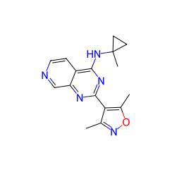 Cc1noc(C)c1-c1nc(NC2(C)CC2)c2ccncc2n1